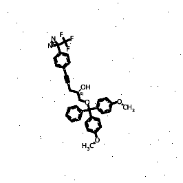 COc1ccc(C(OC[C@@H](O)CC#Cc2ccc(C3(C(F)(F)F)N=N3)cc2)(c2ccccc2)c2ccc(OC)cc2)cc1